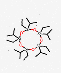 CC[Si]1(C(C)C)O[Si](CC)(C(C)C)O[Si](CC)(C(C)C)O[Si](CC)(C(C)C)O[Si](CC)(C(C)C)O1